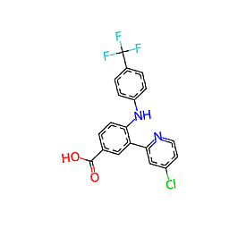 O=C(O)c1ccc(Nc2ccc(C(F)(F)F)cc2)c(-c2cc(Cl)ccn2)c1